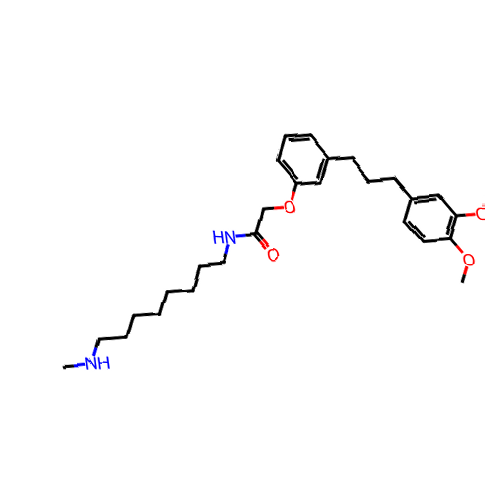 CNCCCCCCCCNC(=O)COc1cccc(CCCc2ccc(OC)c(OC)c2)c1